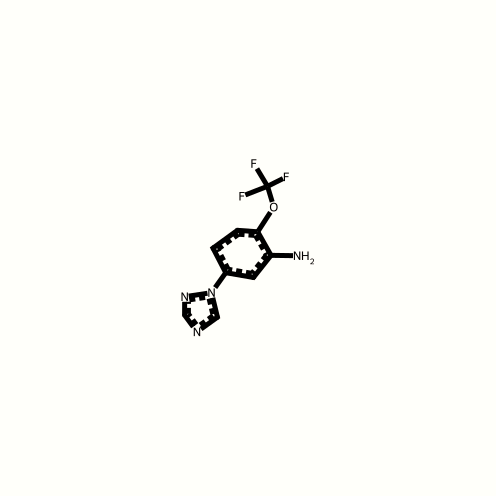 Nc1cc(-n2cncn2)ccc1OC(F)(F)F